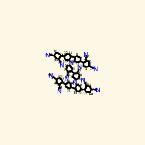 N#Cc1ccc(-c2ccc3c4ccc(-c5ccc(C#N)cc5C#N)cc4n(-c4ccc(C#N)c(-c5cc(-n6c7cc(-c8ccc(C#N)cc8C#N)ccc7c7ccc(-c8ccc(C#N)cc8C#N)cc76)ccc5C#N)c4)c3c2)c(C#N)c1